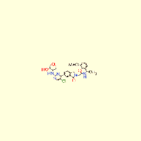 COc1cccc(C(C)NC(=O)CN2Cc3ccc(-c4nc(N[C@H]5CCOC[C@@H]5O)ncc4Cl)cc3C2=O)c1